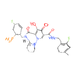 Cc1ccc(CNC(=O)c2cn3c(c(O)c2=O)C(=O)N(Cc2ccc(F)cc2P)[C@@H]2CCCCN23)c(F)c1